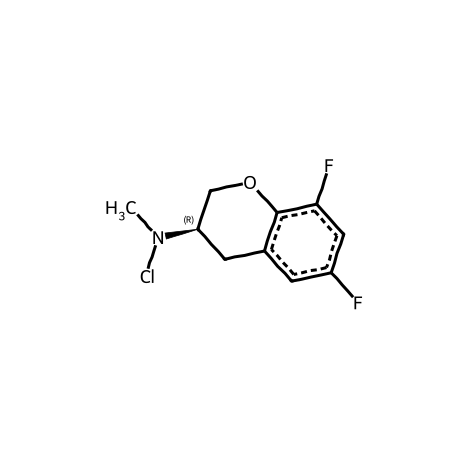 CN(Cl)[C@H]1COc2c(F)cc(F)cc2C1